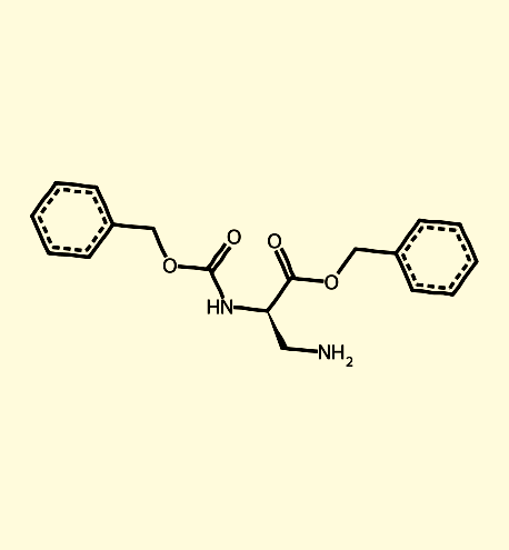 NC[C@@H](NC(=O)OCc1ccccc1)C(=O)OCc1ccccc1